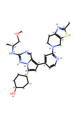 COC[C@H](C)Nc1ncc2c(-c3ccnc(N4CCc5nc(C)sc5C4)c3)cc([C@H]3CC[C@H](O)CC3)n2n1